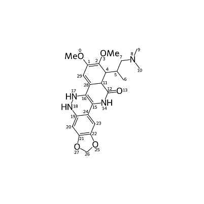 COC1=C(OC)C(C(C)CN(C)C)C2C(=O)NC3=C(NNc4cc5c(cc43)OCO5)C2=C1